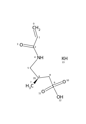 C=CC(=O)NC[C@H](C)CS(=O)(=O)O.[KH]